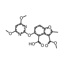 COC(=O)c1c(C)oc2ccc(Oc3nc(OC)cc(OC)n3)c(C(=O)O)c12